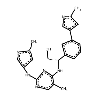 Cc1cnc(Nc2cnn(C)c2)nc1N[C@H](CO)c1cccc(-c2cnn(C)c2)c1